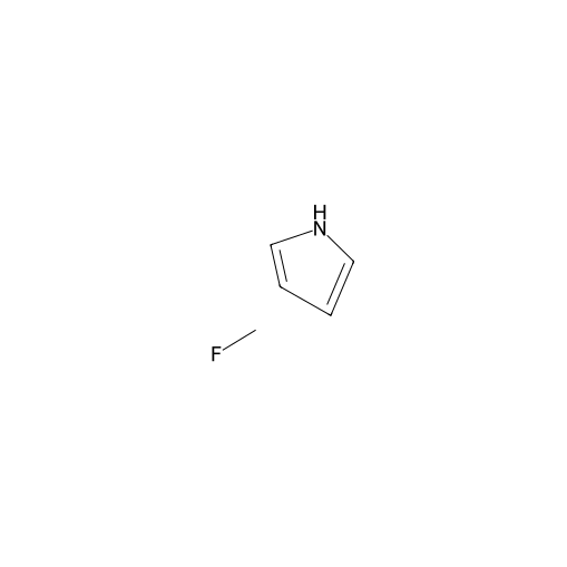 CF.c1cc[nH]c1